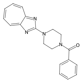 O=C(c1ccccc1)N1CCN(c2nc3cccccc-3n2)CC1